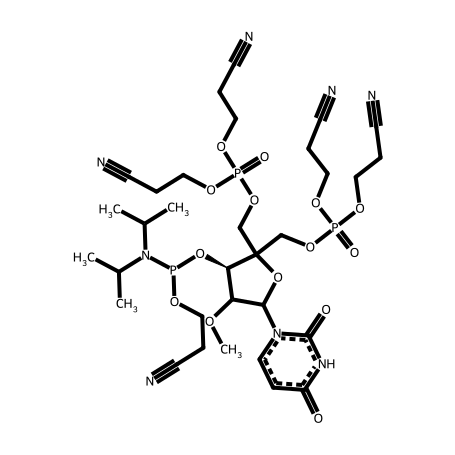 COC1C(n2ccc(=O)[nH]c2=O)OC(COP(=O)(OCCC#N)OCCC#N)(COP(=O)(OCCC#N)OCCC#N)[C@@H]1OP(OCCC#N)N(C(C)C)C(C)C